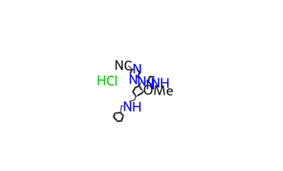 COc1cc(CCNCc2ccccc2)ccc1N(c1cnc(C#N)cn1)c1cc[nH]n1.Cl